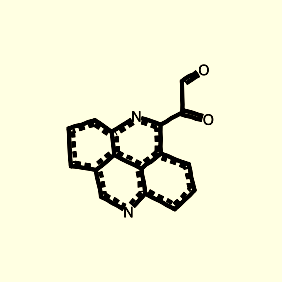 O=CC(=O)c1nc2cccc3cnc4cccc1c4c32